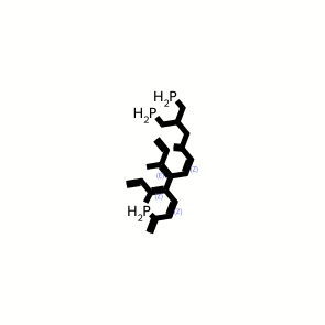 C=C/C(C)=C(/C=C\C(=C)P)C(\C=C/C(=C)CC(CP)CP)=C(/C)C=C